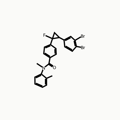 Cc1ccccc1N(C)C(=O)c1ccc(C2(F)CC2c2ccc(Br)c(Br)c2)cc1